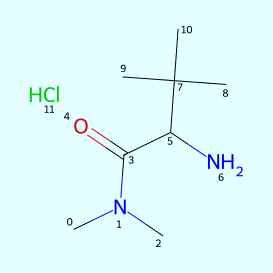 CN(C)C(=O)C(N)C(C)(C)C.Cl